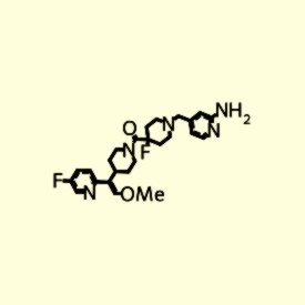 COC=C(c1ccc(F)cn1)C1CCN(C(=O)C2(F)CCN(Cc3ccnc(N)c3)CC2)CC1